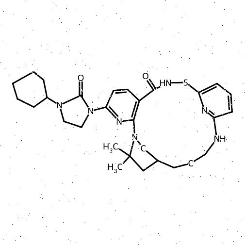 CC1(C)CC2CCCNc3cccc(n3)SNC(=O)c3ccc(N4CCN(C5CCCCC5)C4=O)nc3N1C2